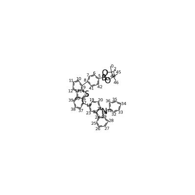 CC1(C)OB(c2ccc(-c3cccc4c3sc3c(-c5ccc6c(c5)c5ccccc5n6-c5ccccc5)cccc34)cc2)OC1(C)C